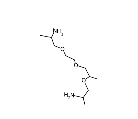 CC(N)COCCOCC(C)OCC(C)N